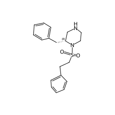 O=S(=O)(CCc1ccccc1)N1CCNC[C@H]1Cc1ccccc1